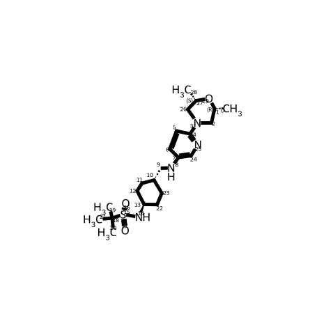 C[C@@H]1CN(c2ccc(NC[C@H]3CC[C@H](NS(=O)(=O)C(C)(C)C)CC3)cn2)C[C@H](C)O1